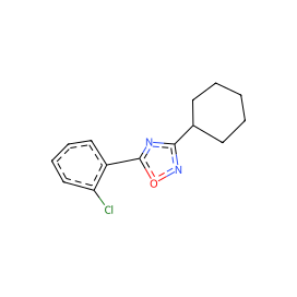 Clc1ccccc1-c1nc(C2CCCCC2)no1